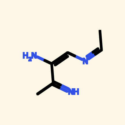 C/C=N\C=C(\N)C(C)=N